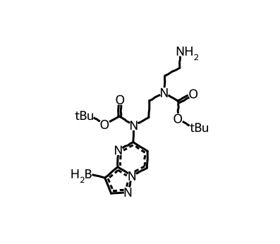 Bc1cnn2ccc(N(CCN(CCN)C(=O)OC(C)(C)C)C(=O)OC(C)(C)C)nc12